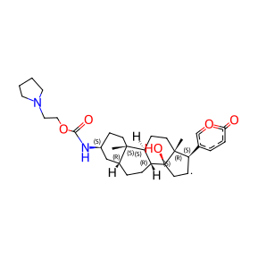 C[C@]12CC[C@H](NC(=O)OCCN3CCCC3)C[C@H]1CC[C@@H]1[C@@H]2CC[C@]2(C)[C@@H](c3ccc(=O)oc3)[CH]C[C@]12O